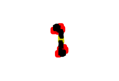 O=C(CCCSSCCCC(=O)ON1C(=O)CCC1=O)ON1C(=O)CCC1=O